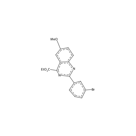 CCOC(=O)c1nc(-c2cccc(Br)c2)nc2ccc(OC)cc12